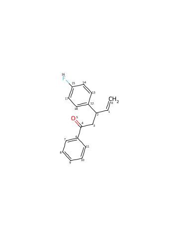 C=CC(CC(=O)c1ccccc1)c1ccc(F)cc1